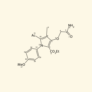 CCOC(=O)c1c(OCC(N)=O)c(C)c(C(C)=O)n1-c1ccc(OC)cc1